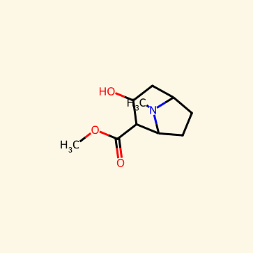 COC(=O)C1C(O)CC2CCC1N2C